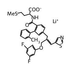 CSCC[C@H](NC(=O)c1ccc(C/C(=C\c2cncs2)COc2cc(F)cc(F)c2)cc1-c1ccccc1C)C(=O)[O-].[Li+]